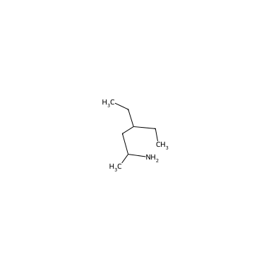 CCC(CC)CC(C)N